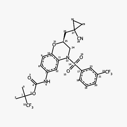 CC(C)(OC(=O)Nc1ccc2c(c1)N(S(=O)(=O)c1cccc(C(F)(F)F)c1)C[C@H](CC1(C#N)CC1)O2)C(F)(F)F